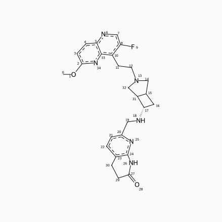 COc1ccc2ncc(F)c(CCN3CC4C[C@H](NCc5ccc6c(n5)NC(=O)CC6)C4C3)c2n1